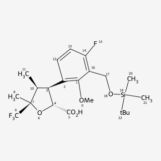 COc1c([C@H]2[C@H](C(=O)O)O[C@@](C)(C(F)(F)F)[C@H]2C)ccc(F)c1CO[Si](C)(C)C(C)(C)C